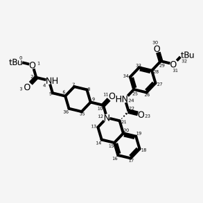 CC(C)(C)OC(=O)NCC1CCC(C(=O)N2CCc3ccccc3[C@H]2C(=O)Nc2ccc(C(=O)OC(C)(C)C)cc2)CC1